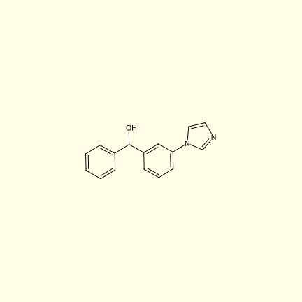 OC(c1ccccc1)c1cccc(-n2ccnc2)c1